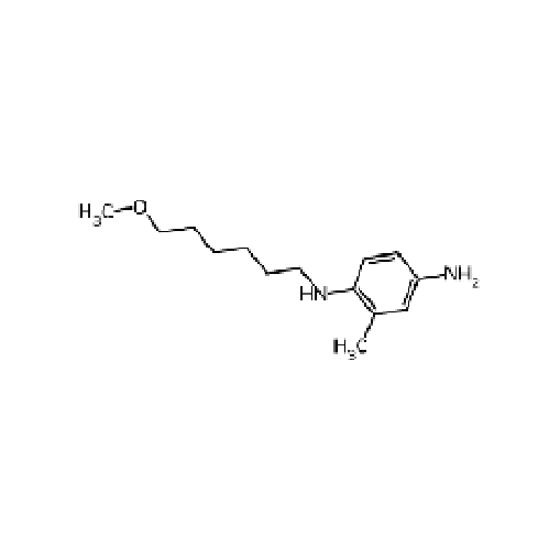 COCCCCCCNc1ccc(N)cc1C